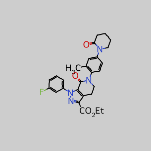 CCOC(=O)c1nn(-c2cccc(F)c2)c2c1CCN(c1ccc(N3CCCCC3=O)cc1C)C2=O